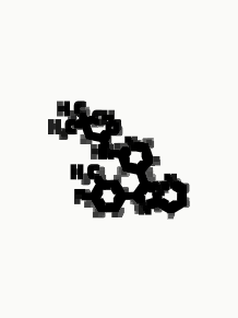 Cc1cc(-c2nc3cccnn3c2-c2ccnc(NC(=O)CC(C)(C)C)c2)ccc1F